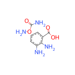 NOC(N)=O.Nc1cccc(C(=O)O)c1N